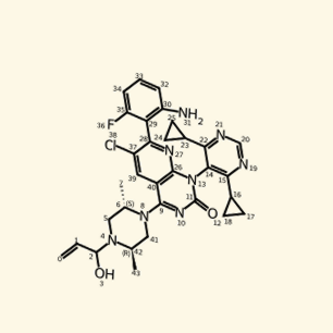 C=CC(O)N1C[C@H](C)N(c2nc(=O)n(-c3c(C4CC4)ncnc3C3CC3)c3nc(-c4c(N)cccc4F)c(Cl)cc23)C[C@H]1C